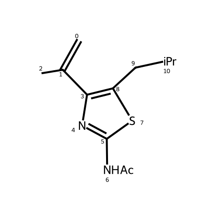 C=C(C)c1nc(NC(C)=O)sc1CC(C)C